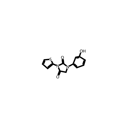 O=C1CN(c2cccc(O)c2)C(=O)N1c1cccs1